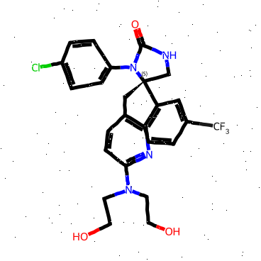 O=C1NC[C@](Cc2ccc(N(CCO)CCO)nc2)(c2cccc(C(F)(F)F)c2)N1c1ccc(Cl)cc1